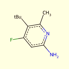 Cc1nc(N)cc(F)c1C(C)(C)C